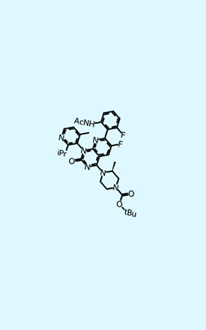 CC(=O)Nc1cccc(F)c1-c1nc2c(cc1F)c(N1CCN(C(=O)OC(C)(C)C)C[C@@H]1C)nc(=O)n2-c1c(C)ccnc1C(C)C